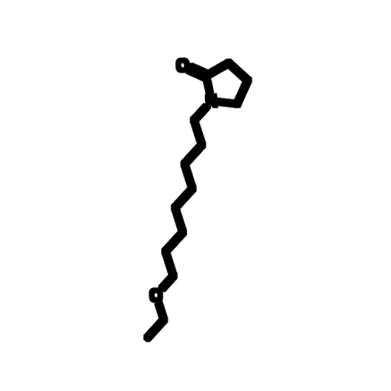 CCOCCCCCCCCN1CCCC1=O